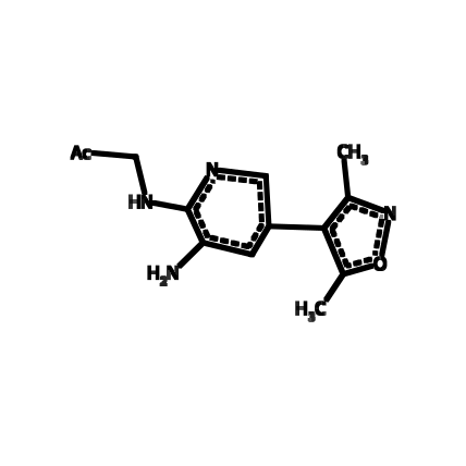 CC(=O)CNc1ncc(-c2c(C)noc2C)cc1N